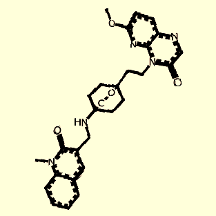 COc1ccc2ncc(=O)n(CCC34CCC(NCc5cc6ccccc6n(C)c5=O)(CC3)CO4)c2n1